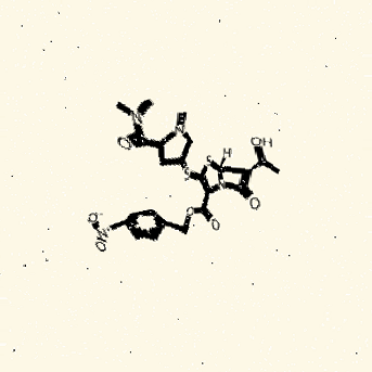 CC(O)[C@H]1C(=O)N2C(C(=O)OCc3ccc([N+](=O)[O-])cc3)=C(SC3CC(C(=O)N(C)C)N(C)C3)S[C@H]12